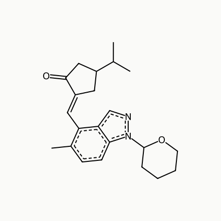 Cc1ccc2c(cnn2C2CCCCO2)c1C=C1CC(C(C)C)CC1=O